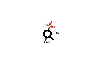 COc1ccc(S(=O)(=O)[O-])cc1C.[Na+]